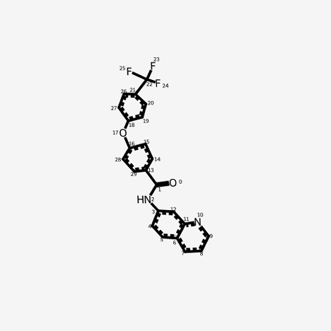 O=C(Nc1ccc2cccnc2c1)c1ccc(Oc2ccc(C(F)(F)F)cc2)cc1